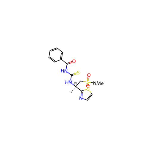 CNS(=O)(=O)C[C@](C)(NC(=S)NC(=O)c1ccccc1)c1nccs1